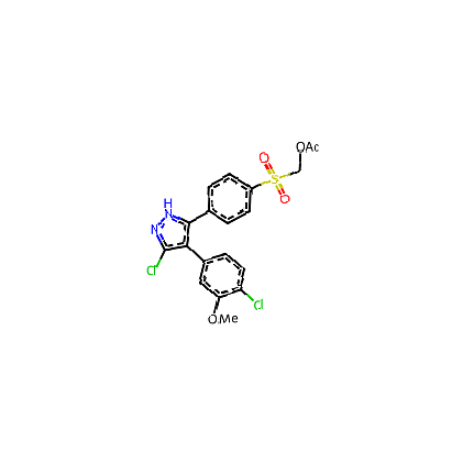 COc1cc(-c2c(Cl)n[nH]c2-c2ccc(S(=O)(=O)COC(C)=O)cc2)ccc1Cl